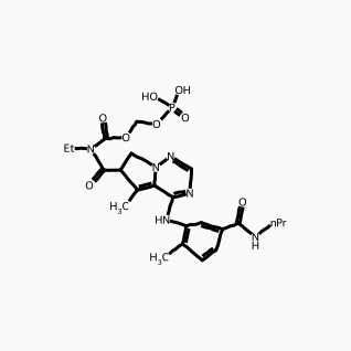 CCCNC(=O)c1ccc(C)c(NC2=NC=NN3CC(C(=O)N(CC)C(=O)OCOP(=O)(O)O)C(C)=C23)c1